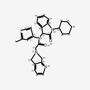 C=C(C)/C=C(\C=C/C)N(C(=O)CN1Cc2cccnc2C1)C1C(=O)N(C2CCCCC2)c2ccccc21